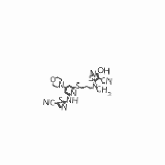 CN(CCCSc1cc(N2CCOCC2)cc(Nc2ncc(C#N)s2)n1)c1snc(O)c1C#N